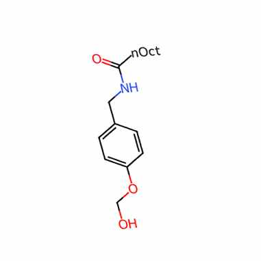 CCCCCCCCC(=O)NCc1ccc(OCO)cc1